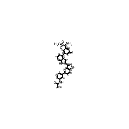 CC(C)(C)C(=O)Nc1cncc(-c2ccc3[nH]nc(-c4cc5c(-c6cc(F)cc(C(N)S(C)(=O)=O)c6)ccnc5[nH]4)c3n2)c1